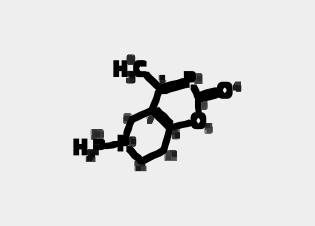 Cc1pc(=O)oc2c1CP(P)CC2